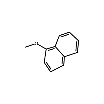 COc1cccc2[c]cc[c]c12